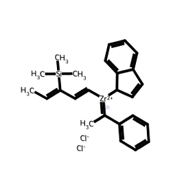 CC=C(C=[CH]/[Zr+2](=[C](\C)c1ccccc1)[CH]1C=Cc2ccccc21)[Si](C)(C)C.[Cl-].[Cl-]